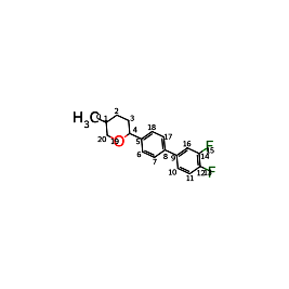 CC1CCC(c2ccc(-c3ccc(F)c(F)c3)cc2)OC1